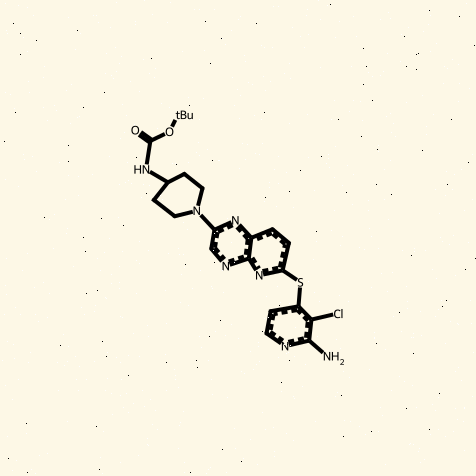 CC(C)(C)OC(=O)NC1CCN(c2cnc3nc(Sc4ccnc(N)c4Cl)ccc3n2)CC1